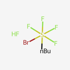 CCCCS(F)(F)(F)(F)Br.F